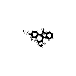 COc1ccc(C2=C(c3ncsc3C)c3ccccc3C2=O)cc1